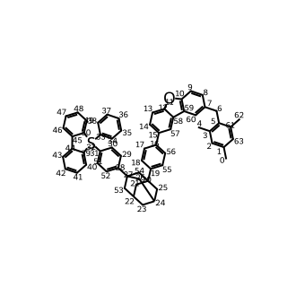 Cc1cc(C)c(Cc2ccc3oc4ccc(-c5ccc(C67CC8CC(C6)CC(c6ccc(S9(c%10ccccc%10)c%10ccccc%10-c%10ccccc%109)cc6)(C8)C7)cc5)cc4c3c2)c(C)c1